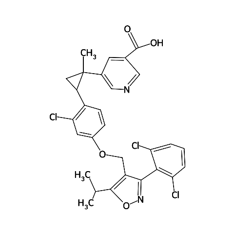 CC(C)c1onc(-c2c(Cl)cccc2Cl)c1COc1ccc(C2CC2(C)c2cncc(C(=O)O)c2)c(Cl)c1